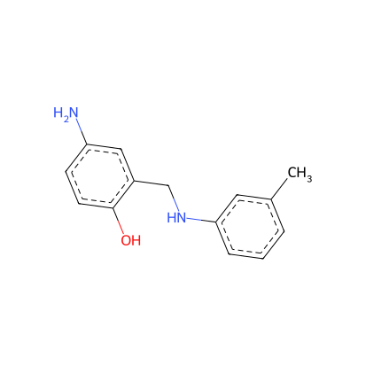 Cc1cccc(NCc2cc(N)ccc2O)c1